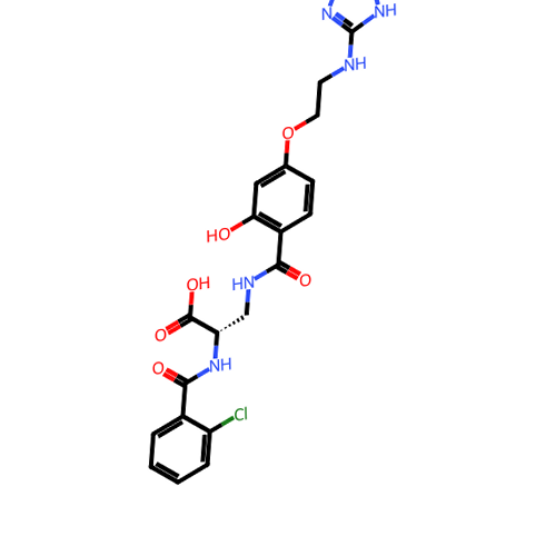 O=C(NC[C@H](NC(=O)c1ccccc1Cl)C(=O)O)c1ccc(OCCNC2=NCCN2)cc1O